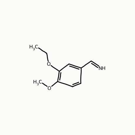 CCOc1cc(C=N)ccc1OC